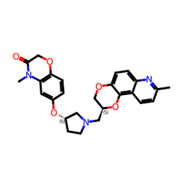 Cc1ccc2c3c(ccc2n1)OC[C@H](CN1CC[C@H](Oc2ccc4c(c2)N(C)C(=O)CO4)C1)O3